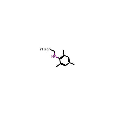 CCCCCCCCPc1c(C)cc(C)cc1C